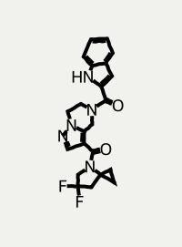 O=C(c1cc2ccccc2[nH]1)N1CCn2ncc(C(=O)N3CC(F)(F)CC34CC4)c2C1